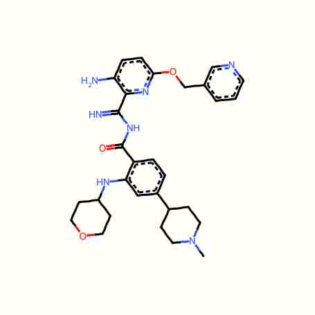 CN1CCC(c2ccc(C(=O)NC(=N)c3nc(OCc4cccnc4)ccc3N)c(NC3CCOCC3)c2)CC1